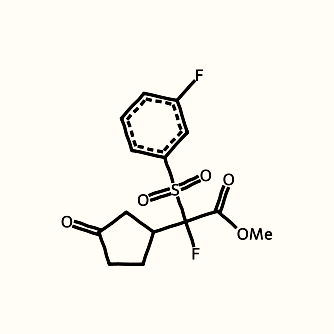 COC(=O)C(F)(C1CCC(=O)C1)S(=O)(=O)c1cccc(F)c1